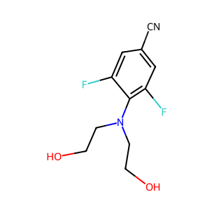 N#Cc1cc(F)c(N(CCO)CCO)c(F)c1